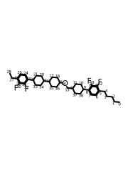 CCCCCc1ccc(C2CCC(COC3CCC(C4CCC(c5ccc(CC)c(F)c5F)CC4)CC3)CC2)c(F)c1F